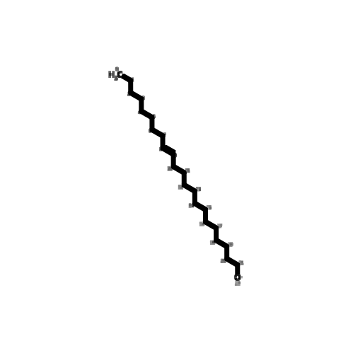 CCCCCCCCC=CCCCCCCCCCCCC[O]